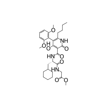 CCCCc1[nH]c(=O)c(C(=O)N[C@@H](CC2CCCCC2)C(=O)NCC(=O)OC)c(O)c1-c1c(OC)cccc1OC